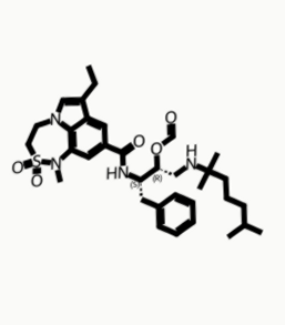 CCc1cn2c3c(cc(C(=O)N[C@@H](Cc4ccccc4)[C@@H](CNC(C)(C)CCCC(C)C)OC=O)cc13)N(C)S(=O)(=O)CC2